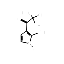 Cc1c(C(=O)C(C)(C)C)ccn1C